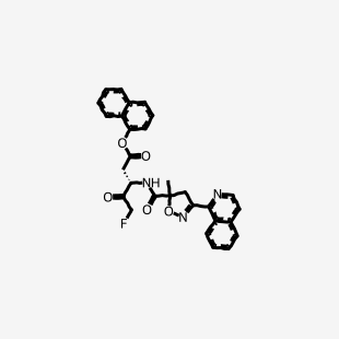 CC1(C(=O)N[C@@H](CC(=O)Oc2cccc3ccccc23)C(=O)CF)CC(c2nccc3ccccc23)=NO1